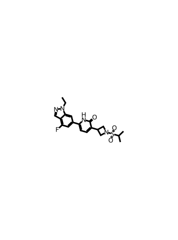 CCn1ncc2c(F)cc(-c3ccc(C4CN(S(=O)(=O)C(C)C)C4)c(=O)[nH]3)cc21